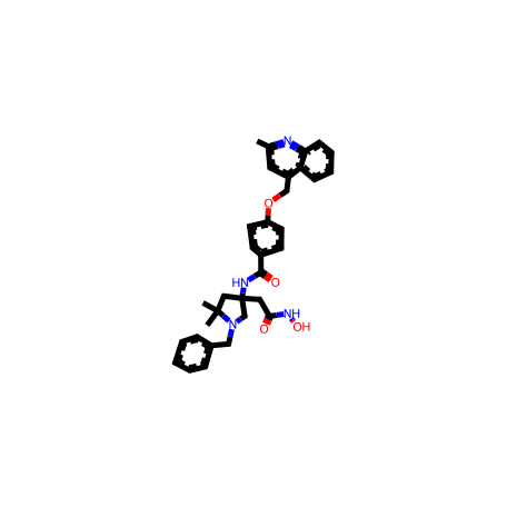 Cc1cc(COc2ccc(C(=O)NC3(CC(=O)NO)CN(Cc4ccccc4)C(C)(C)C3)cc2)c2ccccc2n1